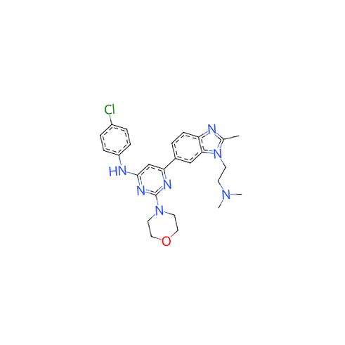 Cc1nc2ccc(-c3cc(Nc4ccc(Cl)cc4)nc(N4CCOCC4)n3)cc2n1CCN(C)C